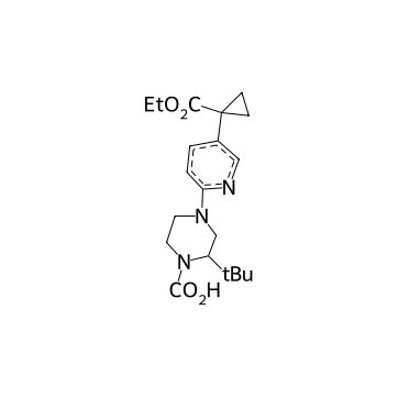 CCOC(=O)C1(c2ccc(N3CCN(C(=O)O)C(C(C)(C)C)C3)nc2)CC1